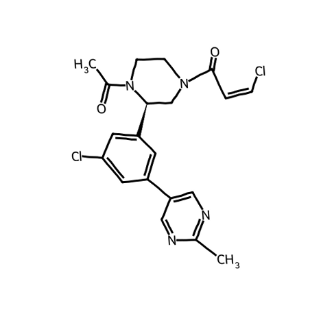 CC(=O)N1CCN(C(=O)/C=C\Cl)C[C@H]1c1cc(Cl)cc(-c2cnc(C)nc2)c1